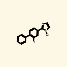 CC(=O)n1ccnc1-c1ccc(-c2ccccc2)c(Cl)c1